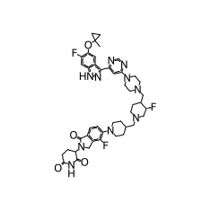 CC1(Oc2cc3c(-c4cc(N5CCN(CC6CCN(CC7CCN(c8ccc9c(c8F)CN(C8CCC(=O)NC8=O)C9=O)CC7)C[C@@H]6F)CC5)ncn4)n[nH]c3cc2F)CC1